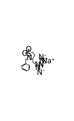 [N-]=[N+]=NCC1CCS(=O)(=O)N1Cc1ccccc1.[N-]=[N+]=[N-].[Na+]